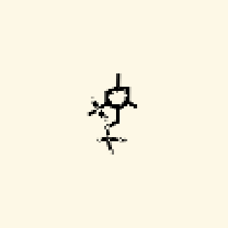 Cc1cc(F)c(COP(=O)(O)O)c(S(C)(=O)=O)c1